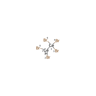 [Br][GeH]([Br])[Ge]([Br])([Br])[Br]